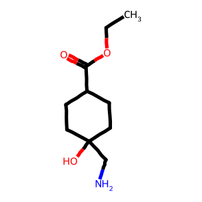 CCOC(=O)C1CCC(O)(CN)CC1